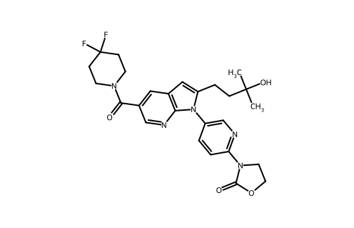 CC(C)(O)CCc1cc2cc(C(=O)N3CCC(F)(F)CC3)cnc2n1-c1ccc(N2CCOC2=O)nc1